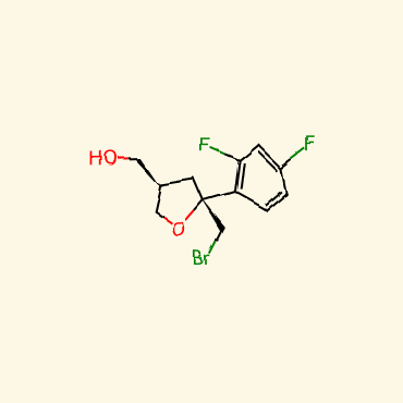 OC[C@@H]1CO[C@@](CBr)(c2ccc(F)cc2F)C1